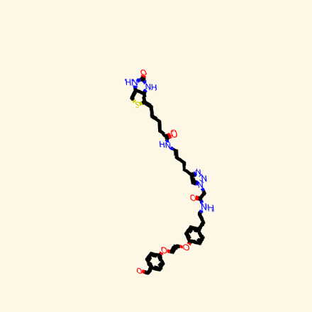 O=Cc1ccc(OC=COc2ccc(CCNC(=O)Cn3cc(CCCCNC(=O)CCCCC4SCC5NC(=O)NC54)nn3)cc2)cc1